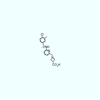 Cc1cc([C@@H](C)Nc2cccc(CN3CC(C(=O)O)C3)n2)ccc1Cl